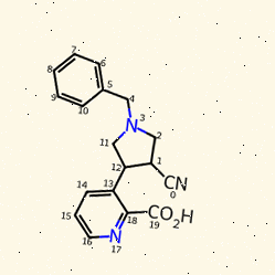 N#CC1CN(Cc2ccccc2)CC1c1cccnc1C(=O)O